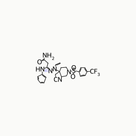 C=CN(/N=C(\CC(N)=O)Nc1ccccc1)C1(CC#N)CCN(S(=O)(=O)c2ccc(C(F)(F)F)cc2)CC1